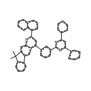 CC1(C)c2ccccc2-c2cc3c(-c4cccc(-c5nc(-c6ccccc6)cc(-c6ccccc6)n5)c4)cc(-c4cccc5ccccc45)nc3cc21